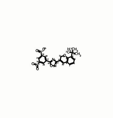 CC(C)(C)c1cccc2c1OCC(c1noc(-c3cc([N+](=O)[O-])cc([N+](=O)[O-])c3)n1)=C2